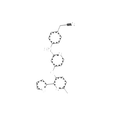 Cc1ccc(Oc2ccnc(Nc3ccc(CC#N)cc3)c2)c(-c2ccco2)n1